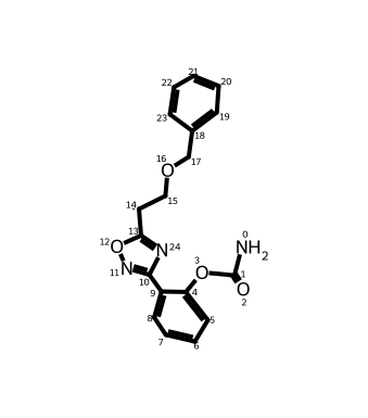 NC(=O)Oc1ccccc1-c1noc([CH]COCc2ccccc2)n1